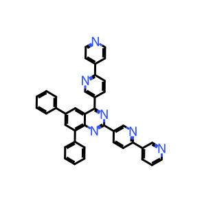 c1ccc(-c2cc(-c3ccccc3)c3nc(-c4ccc(-c5cccnc5)nc4)nc(-c4ccc(-c5ccncc5)nc4)c3c2)cc1